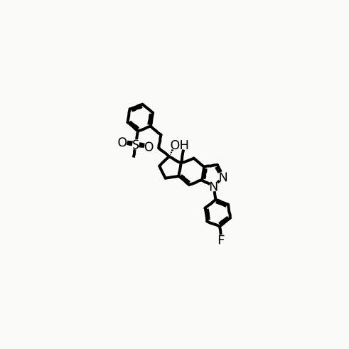 CC12Cc3cnn(-c4ccc(F)cc4)c3C=C1CC[C@@]2(O)CCc1ccccc1S(C)(=O)=O